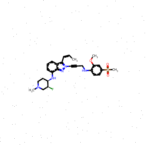 C/C=C\c1c2cccc(N[C@@H]3CCN(C)C[C@@H]3F)c2nn1C#CCNc1ccc(S(C)(=O)=O)cc1OC